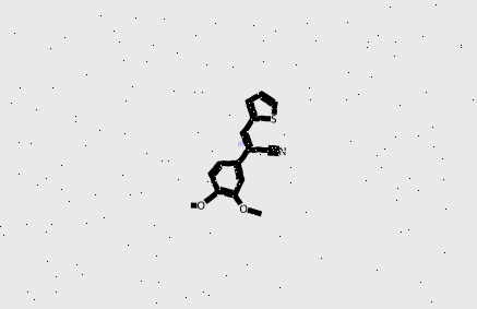 COc1ccc(/C(C#N)=C/c2cccs2)cc1OC